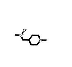 CN1CCC(C[S+](C)[O-])CC1